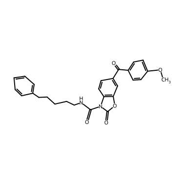 COc1ccc(C(=O)c2ccc3c(c2)oc(=O)n3C(=O)NCCCCCc2ccccc2)cc1